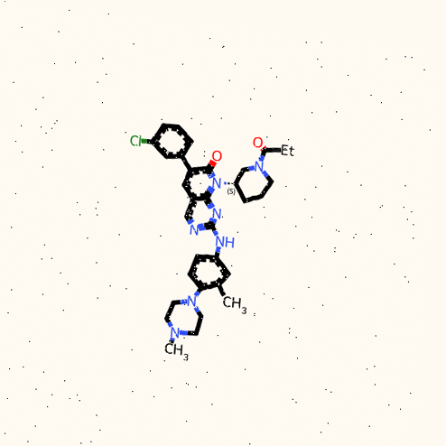 CCC(=O)N1CCC[C@H](n2c(=O)c(-c3cccc(Cl)c3)cc3cnc(Nc4ccc(N5CCN(C)CC5)c(C)c4)nc32)C1